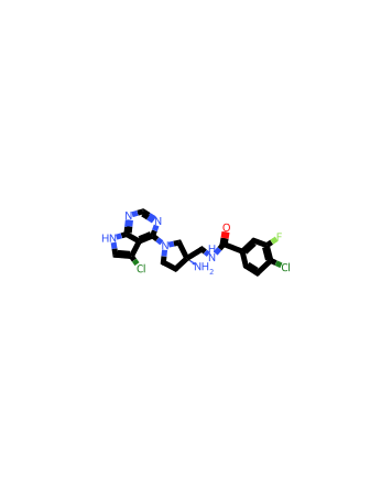 N[C@]1(CNC(=O)c2ccc(Cl)c(F)c2)CCN(c2ncnc3[nH]cc(Cl)c23)C1